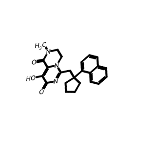 CN1CCn2c(CC3(c4cccc5ccccc45)CCCC3)nc(=O)c(O)c2C1=O